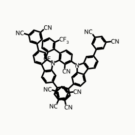 N#Cc1cc(C#N)cc(-c2ccc3c4ccc(-c5cc(C#N)cc(C#N)c5)cc4n(-c4ccc(-c5c(C(F)(F)F)cccc5C(F)(F)F)c(-n5c6cc(-c7cc(C#N)cc(C#N)c7)ccc6c6ccc(-c7cc(C#N)cc(C#N)c7)cc65)c4C#N)c3c2)c1